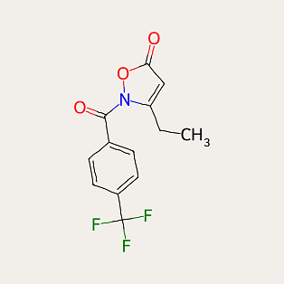 CCc1cc(=O)on1C(=O)c1ccc(C(F)(F)F)cc1